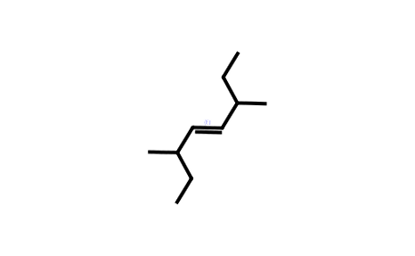 CCC(C)/C=C/C(C)CC